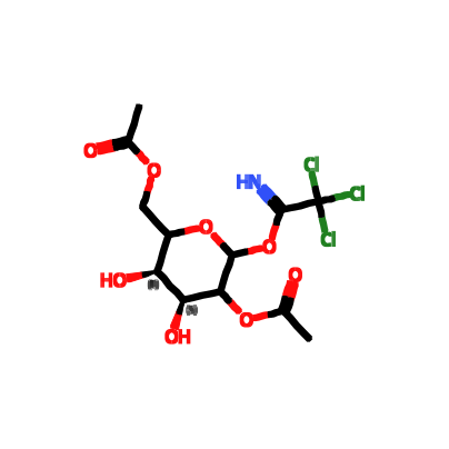 CC(=O)OCC1OC(OC(=N)C(Cl)(Cl)Cl)C(OC(C)=O)[C@@H](O)[C@H]1O